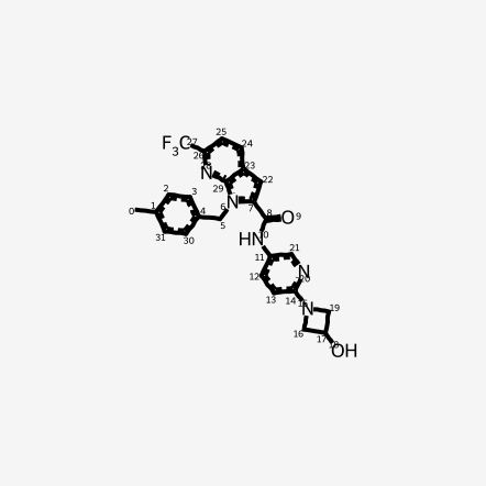 Cc1ccc(Cn2c(C(=O)Nc3ccc(N4CC(O)C4)nc3)cc3ccc(C(F)(F)F)nc32)cc1